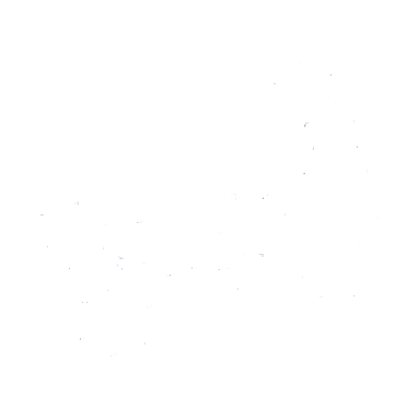 CC1(C)c2ccccc2-c2cc3c(cc21)Oc1cccc2c1B3c1ccc3c(c1O2)C(C)(C)c1cc(N(c2ccccc2)c2ccccc2)ccc1-3